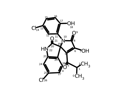 CC(C)C(=O)C1=C(O)C(=O)N(c2cc(Cl)ccc2O)C12C(=O)Nc1cc(Cl)ccc12